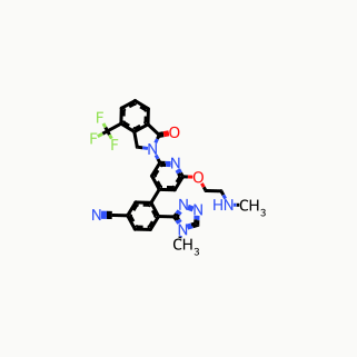 CNCCOc1cc(-c2cc(C#N)ccc2-c2nncn2C)cc(N2Cc3c(cccc3C(F)(F)F)C2=O)n1